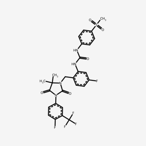 CC1(C)C(=O)N(c2ccc(F)c(C(F)(F)F)c2)C(=O)N1Cc1ccc(F)cc1NC(=O)Nc1ccc(S(C)(=O)=O)cc1